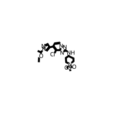 CCOC(C)n1cc(-c2ccn3nc(NC4CCN(S(C)(=O)=O)CC4)nc3c2Cl)cn1